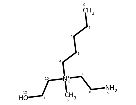 CCCCC[N+](C)(CCN)CCO